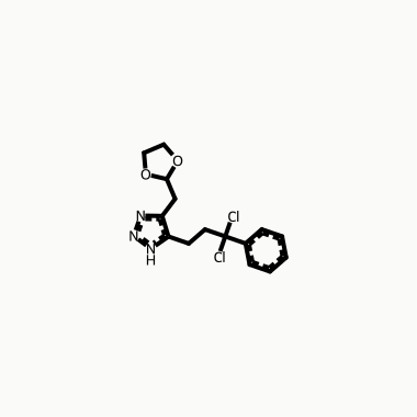 ClC(Cl)(CCc1[nH]nnc1CC1OCCO1)c1ccccc1